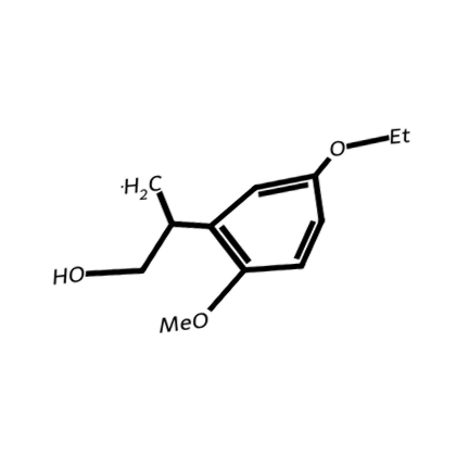 [CH2]C(CO)c1cc(OCC)ccc1OC